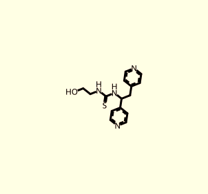 OCCNC(=S)NC(Cc1ccncc1)c1ccncc1